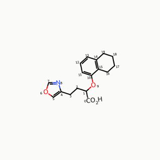 O=C(O)C(CCc1cocn1)Oc1cccc2c1CCCC2